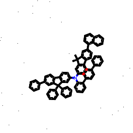 CC1(C)c2cc(-c3cccc4ccccc34)ccc2-c2ccc(N(c3ccc4c(c3)C(c3ccccc3)(c3ccccc3)c3cc(-c5ccccc5)ccc3-4)c3ccccc3-c3ccc(-c4ccccc4)cc3)cc21